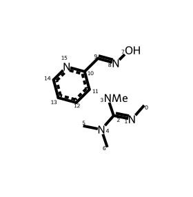 C/N=C(\NC)N(C)C.O/N=C/c1ccccn1